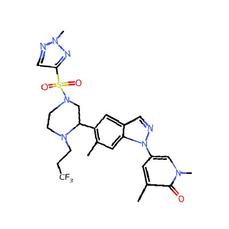 Cc1cc2c(cnn2-c2cc(C)c(=O)n(C)c2)cc1C1CN(S(=O)(=O)c2cnn(C)n2)CCN1CCC(F)(F)F